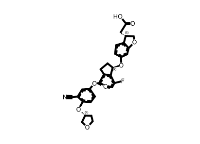 N#Cc1cc(Oc2ccc(F)c3c2CC[C@H]3Oc2ccc3c(c2)OC[C@H]3CC(=O)O)ccc1O[C@@H]1CCOC1